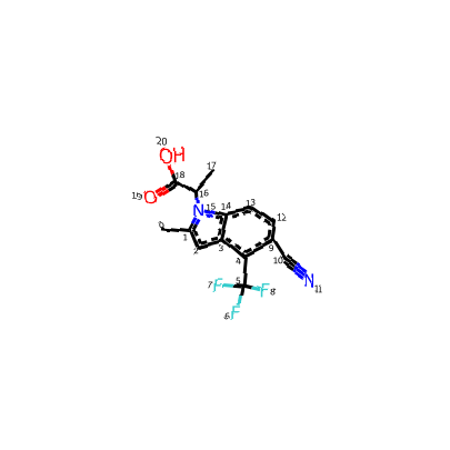 Cc1cc2c(C(F)(F)F)c(C#N)ccc2n1C(C)C(=O)O